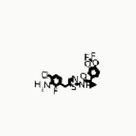 Nc1c(Cl)ccc(Cc2cnc(NC(=O)C3(c4ccc5c(c4)OC(F)(F)O5)CC3)s2)c1F